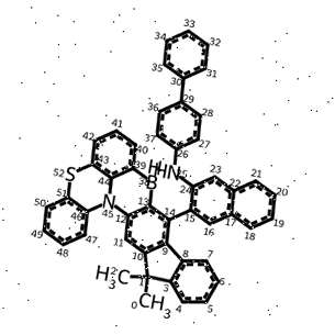 CC1(C)c2ccccc2-c2c1cc1c(c2-c2cc3ccccc3cc2Nc2ccc(-c3ccccc3)cc2)Bc2cccc3c2N1c1ccccc1S3